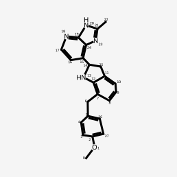 COc1ccc(Cc2cccc3c2NC(c2ccnc4[nH]c(C)nc24)C3)cc1